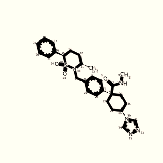 CNC(=O)[C@]1(c2ccc(CN3[C@@H](C)CC[C@H](c4ccccc4)S3(=O)=O)cc2)CC[C@@H](n2cnnc2)CC1